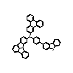 c1ccc2c(c1)sc1ccc(-c3ccc(N(c4ccc5c6ccccc6c6ccccc6c5c4)c4ccc5c6cccc7c8ccccc8n(c5c4)c76)cc3)cc12